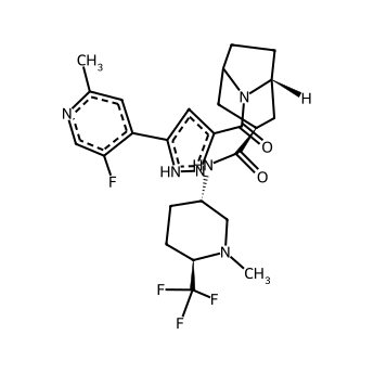 Cc1cc(-c2cc(C(=O)N3C4CC[C@@H]3C[C@@H](C(=O)N[C@H]3CC[C@H](C(F)(F)F)N(C)C3)C4)n[nH]2)c(F)cn1